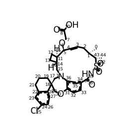 C[C@H]1C/C=C/[C@H](OCC(=O)O)[C@@H]2CC[C@H]2CN2C[C@@]3(CCCc4cc(Cl)ccc43)COc3ccc(cc32)C(=O)NS(=O)(=O)[C@H]1C